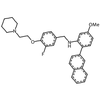 COc1ccc(-c2ccc3ccccc3c2)c(NCc2ccc(OCCN3CCCCC3)c(F)c2)c1